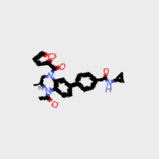 CC(=O)N1c2ccc(-c3ccc(C(=O)NC4CC4)cc3)cc2N(C(=O)c2ccco2)C[C@@H]1C